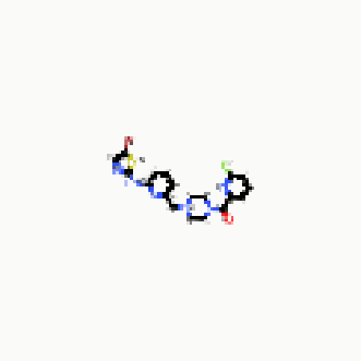 O=C(c1cccc(F)n1)N1CCN(Cc2cccc(Nc3ncc(Br)s3)n2)CC1